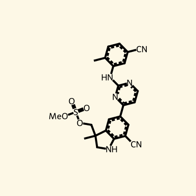 COS(=O)(=O)OCC1(C)CNc2c(C#N)cc(-c3ccnc(Nc4cc(C#N)ccc4C)n3)cc21